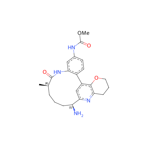 COC(=O)Nc1ccc2c(c1)NC(=O)[C@H](C)CCC[C@H](N)c1cc-2c2c(n1)CCCO2